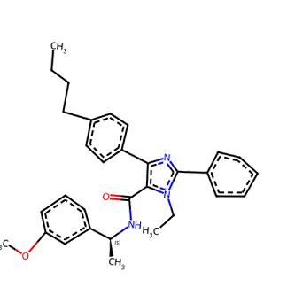 CCCCc1ccc(-c2nc(-c3ccccc3)n(CC)c2C(=O)N[C@@H](C)c2cccc(OC)c2)cc1